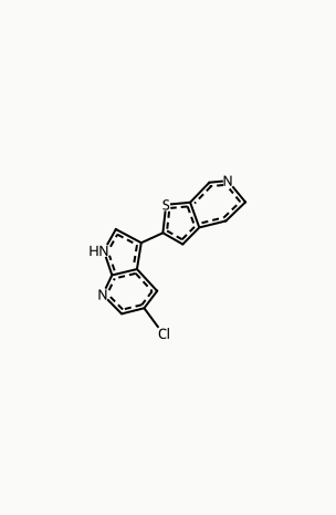 Clc1cnc2[nH]cc(-c3cc4ccncc4s3)c2c1